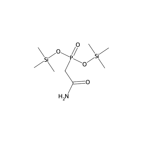 C[Si](C)(C)OP(=O)(CC(N)=O)O[Si](C)(C)C